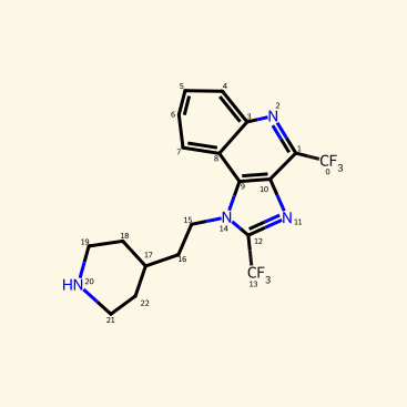 FC(F)(F)c1nc2ccccc2c2c1nc(C(F)(F)F)n2CCC1CCNCC1